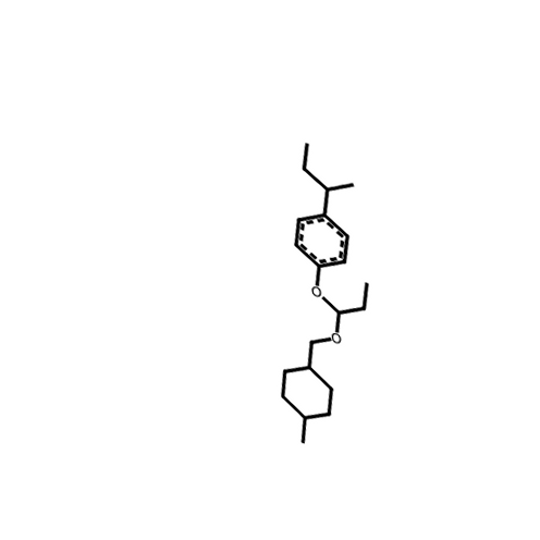 CCC(OCC1CCC(C)CC1)Oc1ccc(C(C)CC)cc1